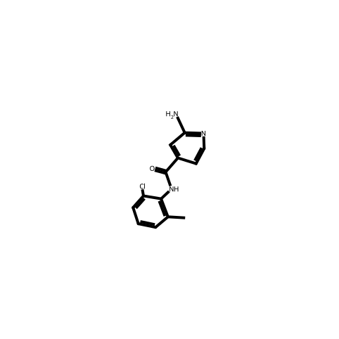 Cc1cccc(Cl)c1NC(=O)c1ccnc(N)c1